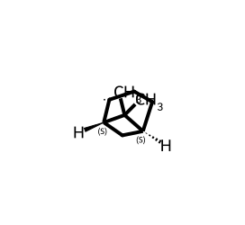 CC1(C)[C@H]2CC[CH][C@H]1C2